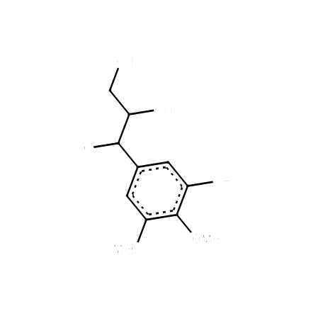 COc1cc(C(O)C(O)CO)cc(C)c1OC